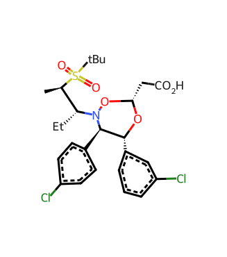 CC[C@H]([C@@H](C)S(=O)(=O)C(C)(C)C)N1O[C@H](CC(=O)O)O[C@H](c2cccc(Cl)c2)[C@H]1c1ccc(Cl)cc1